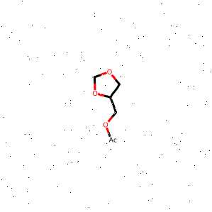 CC(=O)OCC1CO[CH]O1